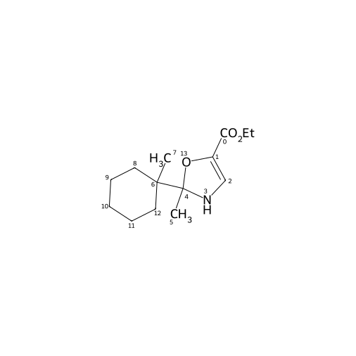 CCOC(=O)C1=CNC(C)(C2(C)CCCCC2)O1